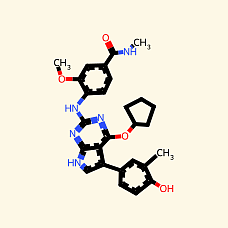 CNC(=O)c1ccc(Nc2nc(OC3CCCC3)c3c(-c4ccc(O)c(C)c4)c[nH]c3n2)c(OC)c1